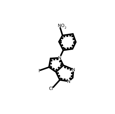 O=[N+]([O-])c1cccc(-n2cc(I)c3c(Cl)ncnc32)c1